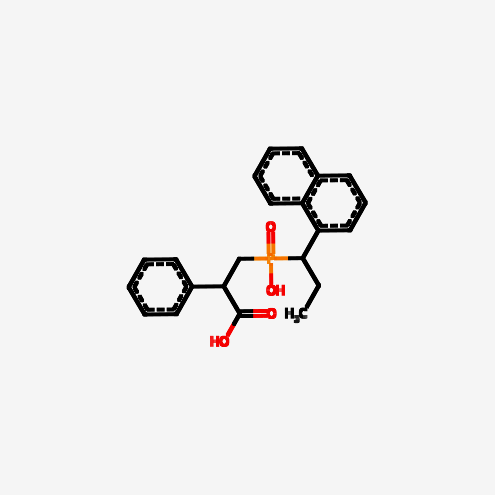 CCC(c1cccc2ccccc12)P(=O)(O)CC(C(=O)O)c1ccccc1